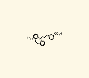 CCOc1cccc2c1CCc1ccccc1N2CCCN1CCC[C@@H](C(=O)O)C1